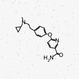 CN(CCc1ccc(Oc2ccc(C(N)=O)cn2)cc1)C1CC1